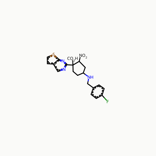 O=C(O)C1(c2ncc3ccsc3n2)CCC(NCc2ccc(F)cc2)CC1[N+](=O)[O-]